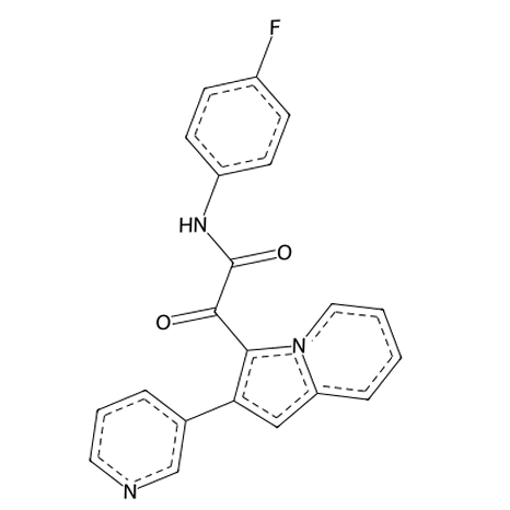 O=C(Nc1ccc(F)cc1)C(=O)c1c(-c2cccnc2)cc2ccccn12